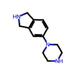 c1cc2c(cc1N1CCNCC1)CNC2